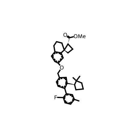 COC(=O)[C@@H]1CC[C@@]12CCCc1ccc(OCc3ccc(-c4cc(C)ccc4F)c([C@@H]4CCCC4(C)C)c3)cc12